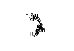 CNC(=O)c1ccc(OCCCCC2CCN(C(=O)[C@](O)(c3cccc(OC)c3)C(F)(F)F)CC2)cc1Cl